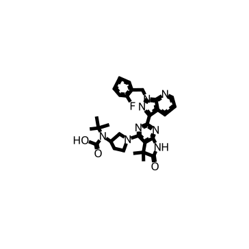 CC1(C)C(=O)Nc2nc(-c3nn(Cc4ccccc4F)c4ncccc34)nc(N3CCC(N(C(=O)O)C(C)(C)C)C3)c21